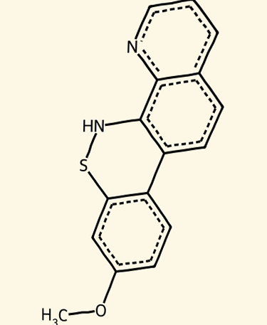 COc1ccc2c(c1)SNc1c-2ccc2cccnc12